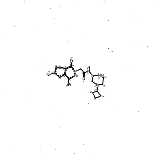 CC(C)c1nn(CC(=O)N[C@@H]2CN(C3CCC3)CCN2)c(=O)c2ccc(Br)cc12